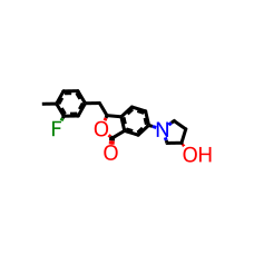 Cc1ccc(CC2OC(=O)c3cc(N4CC[C@@H](O)C4)ccc32)cc1F